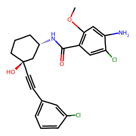 COc1cc(N)c(Cl)cc1C(=O)N[C@H]1CCC[C@@](O)(C#Cc2cccc(Cl)c2)C1